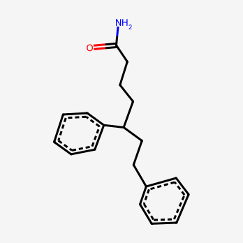 NC(=O)CCCC(CCc1ccccc1)c1ccccc1